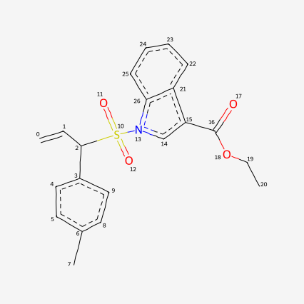 C=CC(c1ccc(C)cc1)S(=O)(=O)n1cc(C(=O)OCC)c2ccccc21